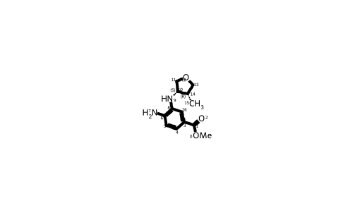 COC(=O)c1ccc(N)c(N[C@@H]2COC[C@@H]2C)c1